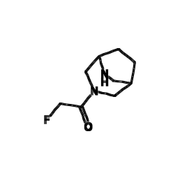 O=C(CF)N1CC2CCC(C1)NC2